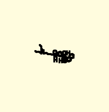 CCCCN(CCCC)CCCCCC(=O)Nc1ccc(O)c(N=Cc2c(O)ccc3ccccc23)c1